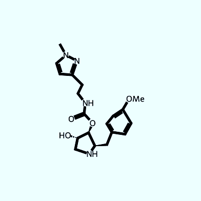 COc1ccc(C[C@H]2NC[C@H](O)[C@H]2OC(=O)NCCc2ccn(C)n2)cc1